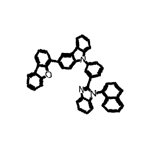 c1cc(-c2nc3ccccc3n2-c2cccc3ccccc23)cc(-n2c3ccccc3c3cc(-c4cccc5c4oc4ccccc45)ccc32)c1